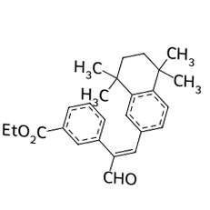 CCOC(=O)c1cccc(C(C=O)=Cc2ccc3c(c2)C(C)(C)CCC3(C)C)c1